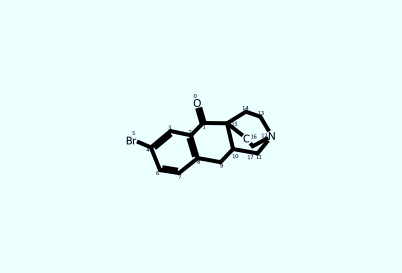 O=C1c2cc(Br)ccc2CC2CN3CCC12CC3